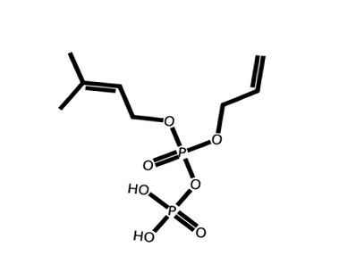 C=CCOP(=O)(OCC=C(C)C)OP(=O)(O)O